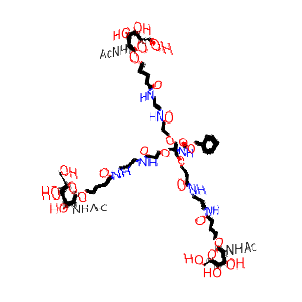 CC(=O)N[C@H]1[C@H](OCCCCC(=O)NCCCNC(=O)CCOCC(COCCC(=O)NCCCNC(=O)CCCCO[C@H]2O[C@H](CO)[C@H](O)[C@H](O)[C@H]2NC(C)=O)(COCCC(=O)NCCCNC(=O)CCCCO[C@H]2O[C@H](CO)[C@H](O)[C@H](O)[C@H]2NC(C)=O)NC(=O)OCc2ccccc2)O[C@H](CO)[C@H](O)[C@@H]1O